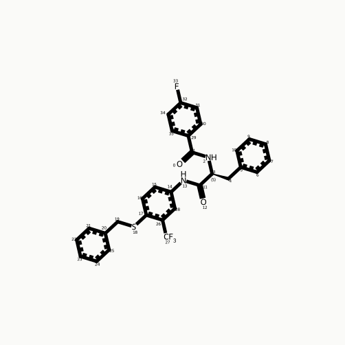 O=C(N[C@@H](Cc1ccccc1)C(=O)Nc1ccc(SCc2ccccc2)c(C(F)(F)F)c1)c1ccc(F)cc1